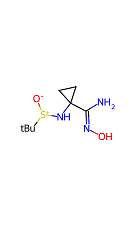 CC(C)(C)[S+]([O-])NC1(/C(N)=N/O)CC1